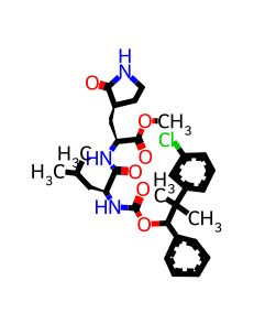 COC(=O)[C@H](C[C@@H]1CCNC1=O)NC(=O)[C@H](CC(C)C)NC(=O)OC(c1ccccc1)C(C)(C)c1cccc(Cl)c1